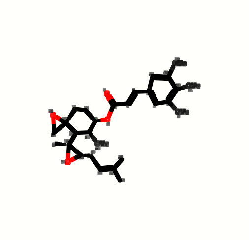 COc1cc(/C=C/C(=O)O[C@@H]2CC[C@]3(CO3)C([C@]3(C)O[C@H]3CC=C(C)C)[C@@H]2OC)cc(OC)c1OC